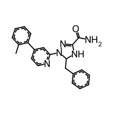 Cc1ccccc1-c1ccnc(N2N=C(C(N)=O)NC2Cc2ccccc2)c1